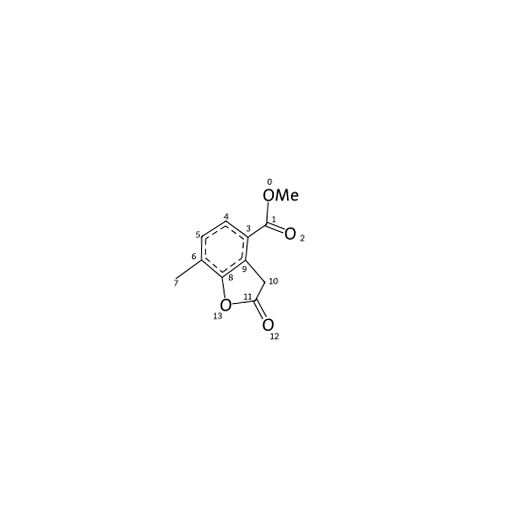 COC(=O)c1ccc(C)c2c1CC(=O)O2